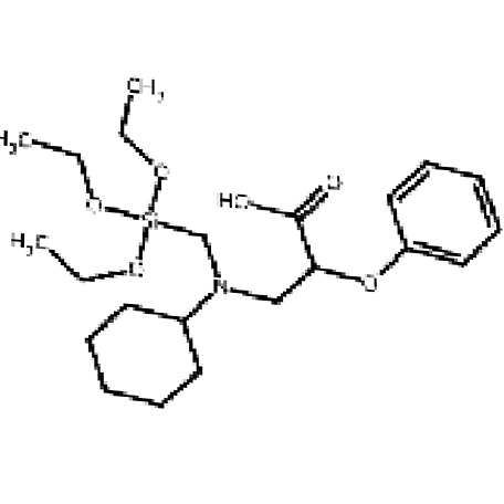 CCO[Si](CN(CC(Oc1ccccc1)C(=O)O)C1CCCCC1)(OCC)OCC